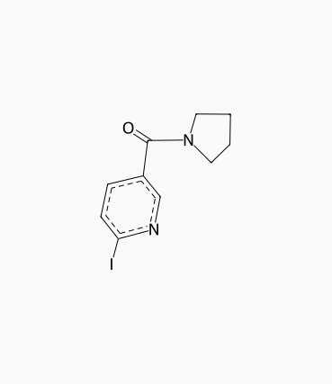 O=C(c1ccc(I)nc1)N1CCCC1